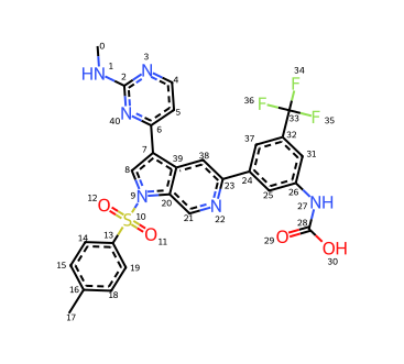 CNc1nccc(-c2cn(S(=O)(=O)c3ccc(C)cc3)c3cnc(-c4cc(NC(=O)O)cc(C(F)(F)F)c4)cc23)n1